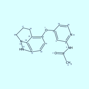 CC(=O)Nc1cc(Oc2ccc3[nH]n4c3c2CCC4)ccn1